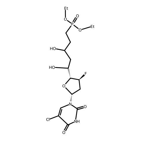 CCOP(=O)(CCC(O)CC(O)[C@H]1O[C@@H](n2cc(Cl)c(=O)[nH]c2=O)C[C@@H]1F)OCC